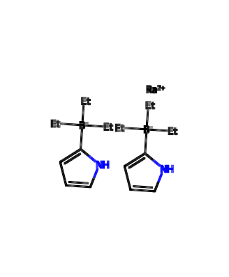 CC[B-](CC)(CC)c1ccc[nH]1.CC[B-](CC)(CC)c1ccc[nH]1.[Ra+2]